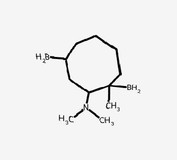 BC1CCCCC(B)(C)C(N(C)C)C1